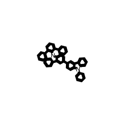 c1ccc(-c2cccc(-c3ccccc3)c2-n2c3ccccc3c3cc(-c4ccc5c(c4)c4ccccc4n5-c4ccccc4)ccc32)cc1